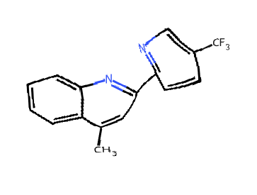 Cc1cc(-c2ccc(C(F)(F)F)cn2)nc2ccccc12